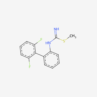 CSC(=N)Nc1ccccc1-c1c(F)cccc1F